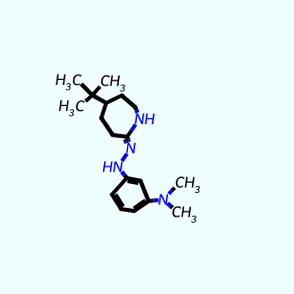 CN(C)c1cccc(NN=C2CCC(C(C)(C)C)CCN2)c1